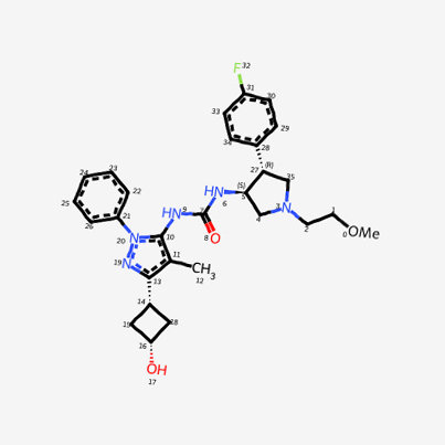 COCCN1C[C@@H](NC(=O)Nc2c(C)c([C@H]3C[C@@H](O)C3)nn2-c2ccccc2)[C@H](c2ccc(F)cc2)C1